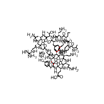 CC[C@H](C)[C@H](NC(=O)[C@@H]1C[C@@H](O)CN1C(=O)[C@@H](N)C(C)C)C(=O)N[C@@H](CCN)C(=O)N[C@@H](Cc1ccc(O)cc1)C(=O)N[C@H](C(=O)N[C@@H](CC(N)=O)C(=O)N[C@@H](CCCNC(=N)N)C(=O)N[C@@H](CCN)C(=O)N[C@@H](CO)C(=O)N[C@H](CCN)C(=O)N[C@@H](CCCCN)C(=O)N[C@@H](CCN)C(=O)N[C@@H](CCN)C(=O)N[C@@H](CCC(=O)O)C(=O)N[C@@H](Cc1ccc(O)cc1)C(=O)O)[C@@H](C)O